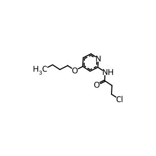 CCCCOc1ccnc(NC(=O)CCCl)c1